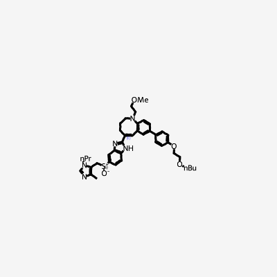 CCCCOCCOc1ccc(-c2ccc3c(c2)/C=C(/c2nc4cc([S@+]([O-])Cc5c(C)ncn5CCC)ccc4[nH]2)CCCN3CCOC)cc1